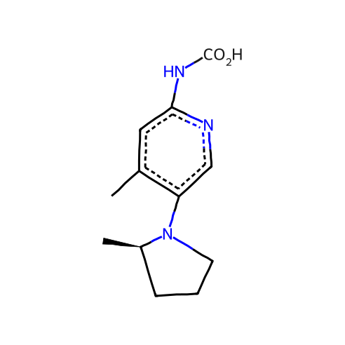 Cc1cc(NC(=O)O)ncc1N1CCC[C@H]1C